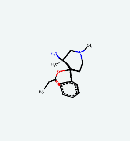 CCC(=O)OC1(c2ccccc2)CCN(C)C[C@]1(C)N